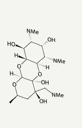 CNC[C@]1(O)C[C@@H](C)O[C@H]2O[C@@H]3[C@@H](O)[C@H](NC)[C@H](O)[C@H](NC)[C@H]3O[C@]21O